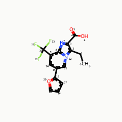 CCc1c(C(=O)O)nc2c(C(F)(F)F)cc(-c3ccco3)cn12